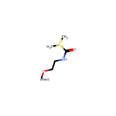 CCCCCOCCNC(=O)[SH](C)C